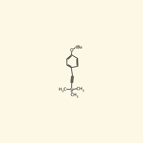 CC(C)(C)Oc1ccc(C#C[Si](C)(C)C)cc1